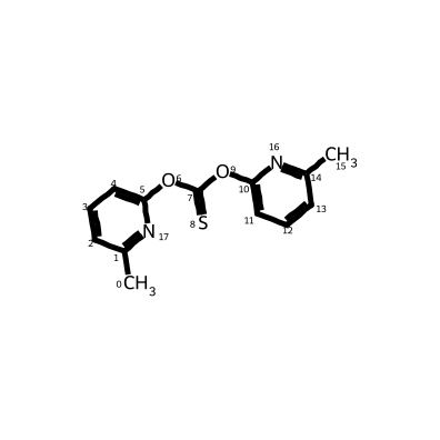 Cc1cccc(OC(=S)Oc2cccc(C)n2)n1